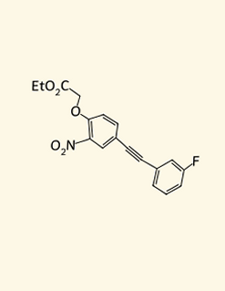 CCOC(=O)COc1ccc(C#Cc2cccc(F)c2)cc1[N+](=O)[O-]